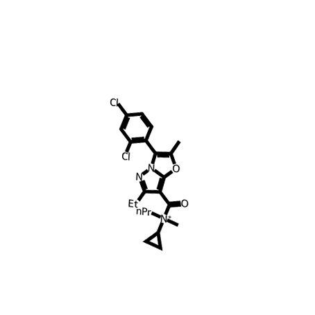 CCC[N+](C)(C(=O)c1c(CC)nn2c(-c3ccc(Cl)cc3Cl)c(C)oc12)C1CC1